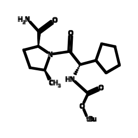 C[C@H]1CC[C@@H](C(N)=O)N1C(=O)[C@@H](NC(=O)OC(C)(C)C)C1CCCC1